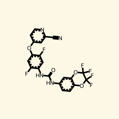 N#Cc1cc(Oc2cc(F)c(NC(=O)Nc3ccc4c(c3)OC(F)(F)C(F)(F)O4)cc2F)ccn1